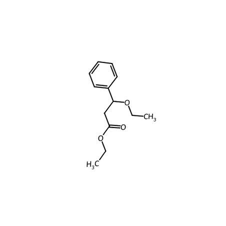 CCOC(=O)CC(OCC)c1ccccc1